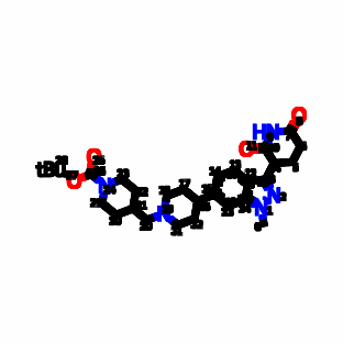 Cn1nc(C2CCC(=O)NC2=O)c2ccc(C3CCN(CC4CCN(C(=O)OC(C)(C)C)CC4)CC3)cc21